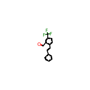 O=Cc1cc(C(F)(F)F)ccc1C=Cc1ccccc1